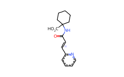 O=C(/C=C/c1ccccn1)NC1(C(=O)O)CCCCC1